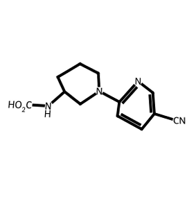 N#Cc1ccc(N2CCCC(NC(=O)O)C2)nc1